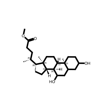 COC(=O)CC[C@@H](C)[C@H]1CC[C@H]2[C@@H]3C(O)CC4CC(O)CC[C@]4(C)[C@H]3CC[C@]12C